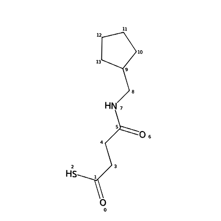 O=C(S)CCC(=O)NCC1CCCC1